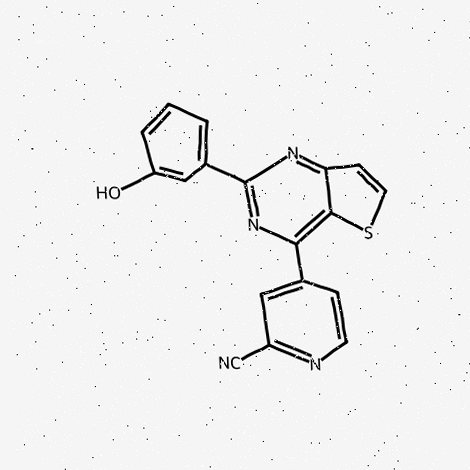 N#Cc1cc(-c2nc(-c3cccc(O)c3)nc3ccsc23)ccn1